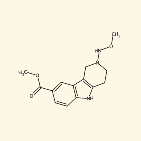 COBN1CCc2[nH]c3ccc(C(=O)OC)cc3c2C1